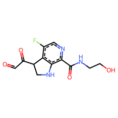 O=CC(=O)C1CNc2c(C(=O)NCCO)ncc(F)c21